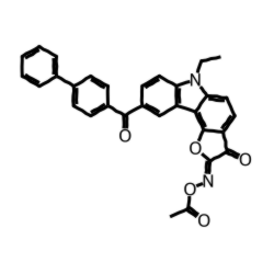 CCn1c2ccc(C(=O)c3ccc(-c4ccccc4)cc3)cc2c2c3c(ccc21)C(=O)/C(=N/OC(C)=O)O3